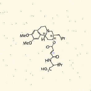 COc1cc2c(cc1OC)[C@H]1C[C@@H](OC(=O)/C=C/C(=O)NC(C(=O)O)C(C)C)[C@H](CC(C)C)CN1CC2